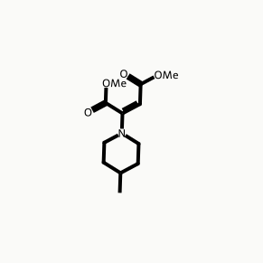 COC(=O)/C=C(\C(=O)OC)N1CCC(C)CC1